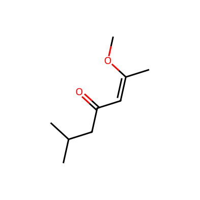 CO/C(C)=C\C(=O)CC(C)C